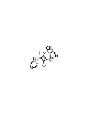 CC(Nc1c(Nc2ccncc2)c(=O)c1=O)c1ccncc1